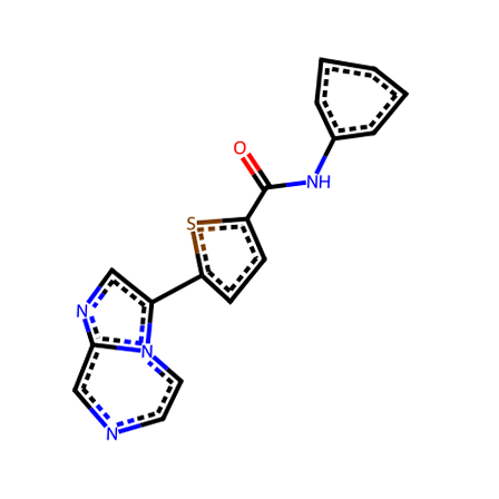 O=C(Nc1ccccc1)c1ccc(-c2cnc3cnccn23)s1